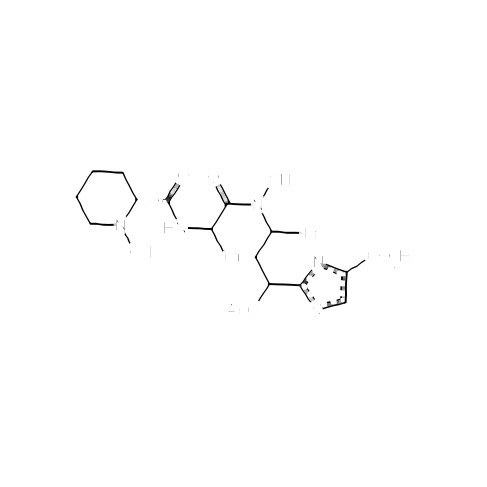 CC(=O)OC(CC(C(C)C)N(C)C(=O)C(NC(=O)[C@H]1CCCCN1C)C(C)C)c1nc(C(=O)O)cs1